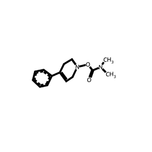 CN(C)C(=O)ON1CC=C(c2ccccc2)CC1